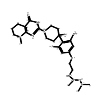 CCCc1cc(OCCNP(C)ON(C)C)cc(F)c1C1(C(C)=O)CCN(c2nc3c(c(=O)[nH]2)CCCN3C)CC1